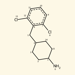 NC1CCC(Cc2c(Cl)cccc2Cl)CC1